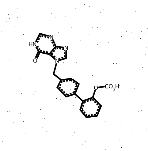 O=C(O)Oc1ccccc1-c1ccc(Cn2cnc3nc[nH]c(=O)c32)cc1